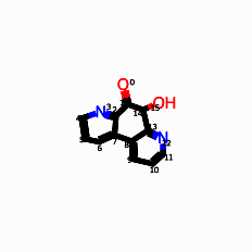 O=C1c2ncccc2-c2cccnc2C1O